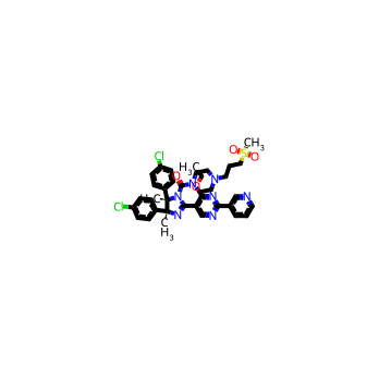 CCOc1nc(-c2cccnc2)ncc1C1=N[C@@](C)(c2ccc(Cl)cc2)[C@@](C)(c2ccc(Cl)cc2)N1C(=O)N1CCN(CCCS(C)(=O)=O)CC1